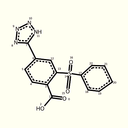 O=C(O)c1ccc(-c2nnn[nH]2)cc1S(=O)(=O)c1ccccc1